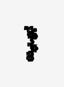 CNC(=O)c1c(F)cnc2c(CCNc3cc(-c4cnc5c(c4)OCCO5)ncn3)cccc12